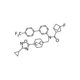 O=C(C1CC2(F)CC1C2)N(CC12CCC(c3nc(C4CC4)no3)(CC1)CC2)c1cccc(-c2ccc(C(F)(F)F)cc2)c1